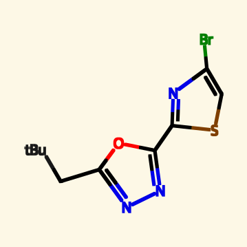 CC(C)(C)Cc1nnc(-c2nc(Br)cs2)o1